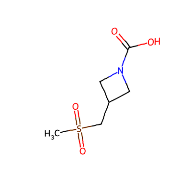 CS(=O)(=O)CC1CN(C(=O)O)C1